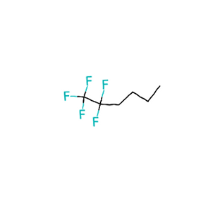 CCCCC(F)(F)C(F)(F)F